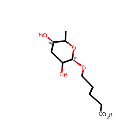 CC1O[C@@H](OCCCCC(=O)O)C(O)C[C@H]1O